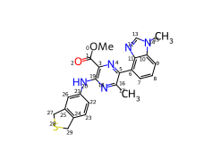 COC(=O)c1nc(-c2cccc3c2ncn3C)c(C)nc1Nc1ccc2c(c1)CSC2